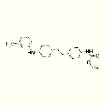 CC(C)(C)OC(=O)NC1CCC(CCN2CCC(Nc3cccc(C(F)(F)F)c3)CC2)CC1